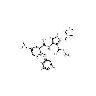 CNC(=O)c1c(NC(=O)c2nc(C3CC3)cnc2Nc2cncnc2)cnn1CC1CCOC1